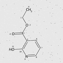 CCOC(=O)c1[c]ccnc1O